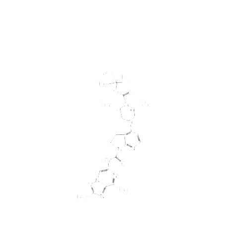 Cc1nc2c(C)nc(NC(=O)N3CCc4c(N5C[C@@H](C)N(C(=O)OC(C)(C)C)[C@@H](C)C5)ccnc43)cn2n1